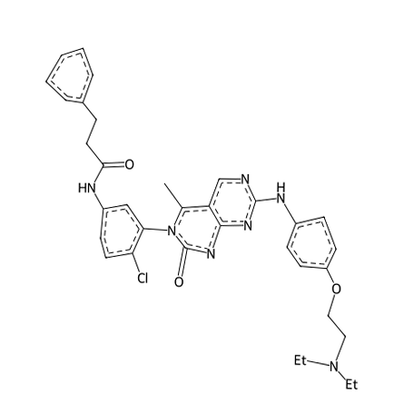 CCN(CC)CCOc1ccc(Nc2ncc3c(C)n(-c4cc(NC(=O)CCc5ccccc5)ccc4Cl)c(=O)nc3n2)cc1